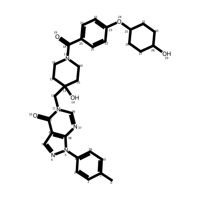 Cc1ccc(-n2ncc3c(=O)n(CC4(O)CCN(C(=O)c5ccc(OC6CCC(O)CC6)cc5)CC4)cnc32)cc1